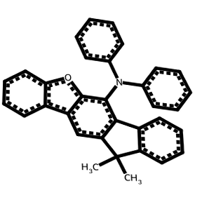 CC1(C)c2ccccc2-c2c1cc1c(oc3ccccc31)c2N(c1ccccc1)c1ccccc1